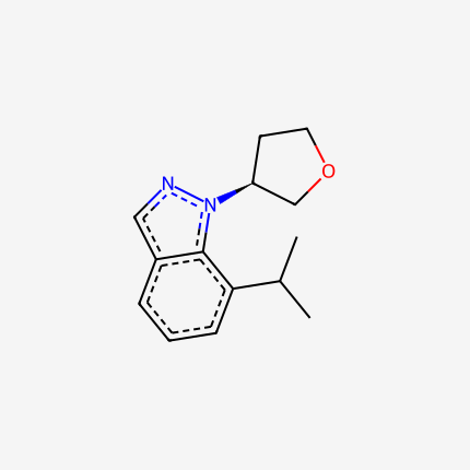 CC(C)c1cccc2cnn([C@H]3CCOC3)c12